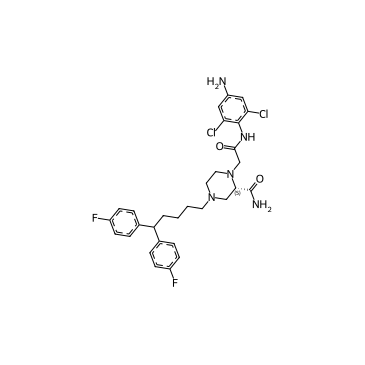 NC(=O)[C@@H]1CN(CCCCC(c2ccc(F)cc2)c2ccc(F)cc2)CCN1CC(=O)Nc1c(Cl)cc(N)cc1Cl